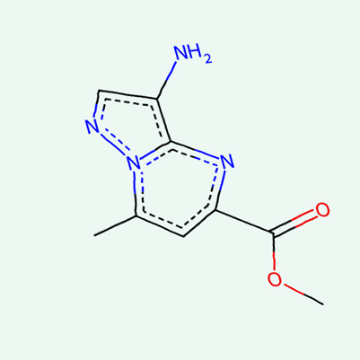 COC(=O)c1cc(C)n2ncc(N)c2n1